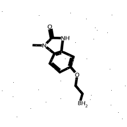 BCCOc1ccc2c(c1)[nH]c(=O)n2C